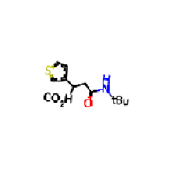 CC(C)(C)NC(=O)CC(C(=O)O)c1ccsc1